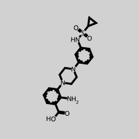 Nc1c(C(=O)O)cccc1N1CCN(c2cccc(NS(=O)(=O)C3CC3)c2)CC1